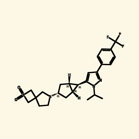 CC(C)n1nc(-c2ccc(C(F)(F)F)cc2)cc1[C@H]1[C@@H]2C[C@H](N3CCC4(C3)CS(=O)(=O)C4)C[C@@H]21